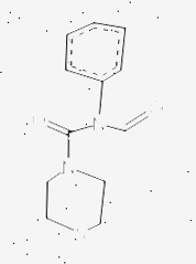 O=[C]N(C(=O)N1CCSCC1)c1ccccc1